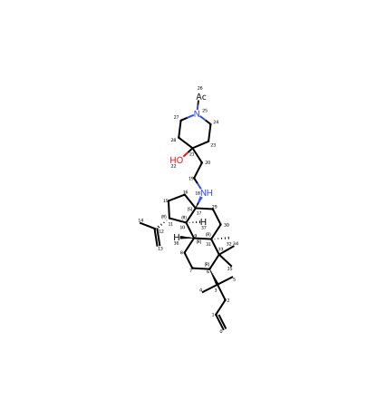 C=CCC(C)(C)[C@H]1CC[C@@H]2[C@H]3[C@H](C(=C)C)CC[C@]3(NCCC3(O)CCN(C(C)=O)CC3)CC[C@@]2(C)C1(C)C